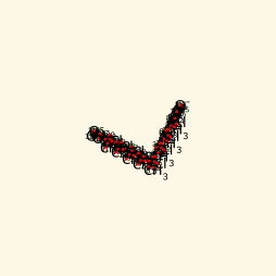 CC[n+]1ccc(Cl)c2ccccc21.CC[n+]1ccc(Cl)c2ccccc21.CC[n+]1ccc(Cl)c2ccccc21.CC[n+]1ccc(Cl)c2ccccc21.CC[n+]1ccc(Cl)c2ccccc21.CC[n+]1ccc(Cl)c2ccccc21.CC[n+]1ccc(Cl)c2ccccc21.CC[n+]1ccc(Cl)c2ccccc21.[O-]B([O-])F.[O-]B([O-])F.[O-]B([O-])F.[O-]B([O-])F